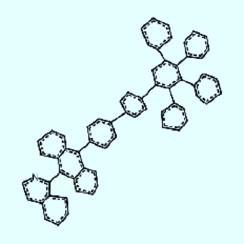 c1ccc(-c2cc(-c3ccc(-c4ccc(-c5c6ccccc6c(-c6nccc7ccccc67)c6ccccc56)cc4)cc3)c(-c3ccccc3)c(-c3ccccc3)c2-c2ccccc2)cc1